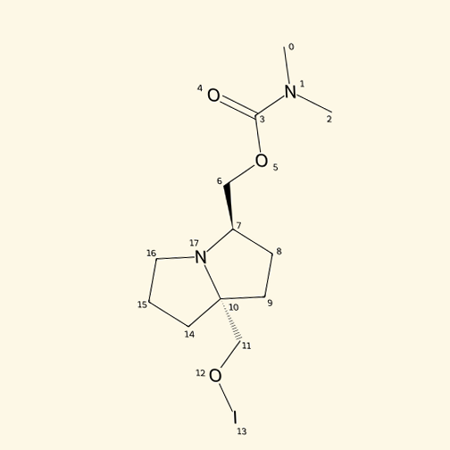 CN(C)C(=O)OC[C@H]1CC[C@@]2(COI)CCCN12